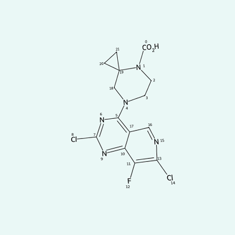 O=C(O)N1CCN(c2nc(Cl)nc3c(F)c(Cl)ncc23)CC12CC2